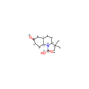 CC(C)(C)C1CCC2CC(=O)CCC2N1C(=O)O